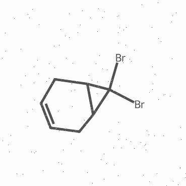 BrC1(Br)C2CC=CCC21